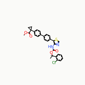 COC(=O)C1(c2ccc(-c3ccc(-c4scnc4NC(=O)O[C@H](C)c4ccccc4Cl)cc3)cc2)CC1